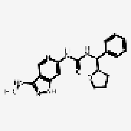 CNc1n[nH]c2cc(NC(=O)N[C@@H](c3ccccc3)[C@H]3CCCO3)ncc12